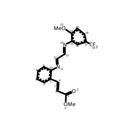 COC(=O)/C=C/c1ccccc1N=CC=Nc1cc(C(F)(F)F)ccc1OC